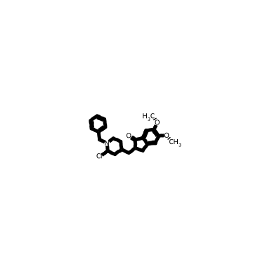 COc1cc2c(cc1OC)C(=O)C(CC1CCN(Cc3ccccc3)C(Cl)C1)C2